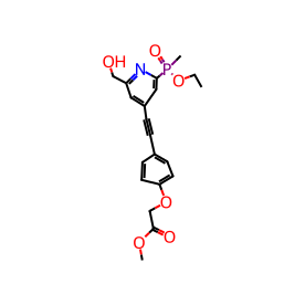 CCOP(C)(=O)c1cc(C#Cc2ccc(OCC(=O)OC)cc2)cc(CO)n1